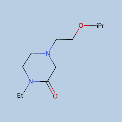 CCN1CCN(CCOC(C)C)CC1=O